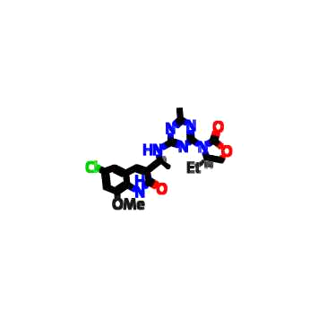 CC[C@H]1COC(=O)N1c1nc(C)nc(N[C@@H](C)c2cc3cc(Cl)cc(OC)c3[nH]c2=O)n1